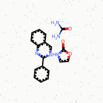 NC(N)=O.O=c1[nH]cco1.c1ccc(-c2ncc3ccccc3n2)cc1